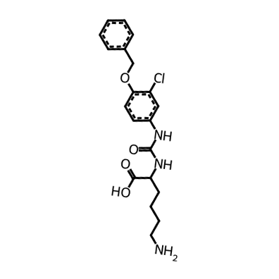 NCCCCC(NC(=O)Nc1ccc(OCc2ccccc2)c(Cl)c1)C(=O)O